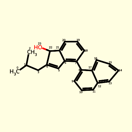 CC(C)CC1=Cc2c(-c3cccc4ccccc34)cccc2C1O